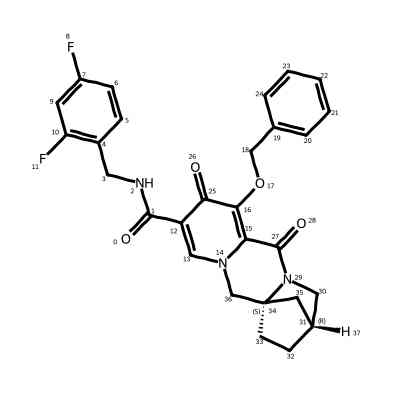 O=C(NCc1ccc(F)cc1F)c1cn2c(c(OCc3ccccc3)c1=O)C(=O)N1C[C@@H]3CC[C@]1(C3)C2